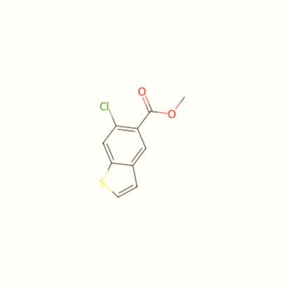 COC(=O)c1cc2ccsc2cc1Cl